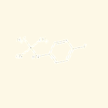 [C-]#[N+]C(C)(C)Nc1ccc(F)cc1